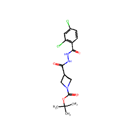 CC(C)(C)OC(=O)N1CC(C(=O)NNC(=O)c2ccc(Cl)cc2Cl)C1